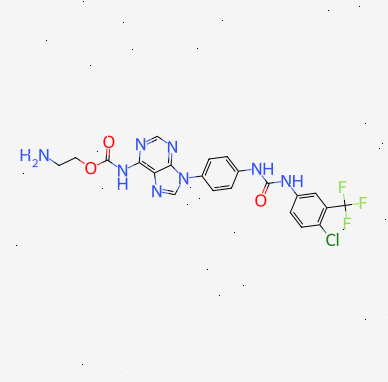 NCCOC(=O)Nc1ncnc2c1ncn2-c1ccc(NC(=O)Nc2ccc(Cl)c(C(F)(F)F)c2)cc1